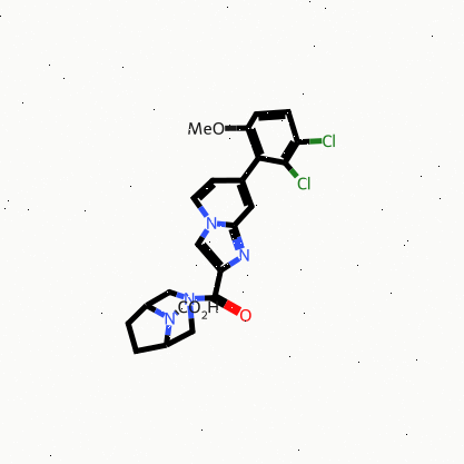 COc1ccc(Cl)c(Cl)c1-c1ccn2cc(C(=O)N3CC4CCC(C3)N4C(=O)O)nc2c1